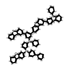 c1ccc(-c2ccc(N(c3cccc(N(c4ccccc4)c4cc(-c5ccc6c(c5)sc5ccc(-c7ccc8c9ccccc9n(-c9ccccc9)c8c7)cc56)cc(-c5ccc6sc7ccccc7c6c5)c4)c3)c3ccc4c(c3)oc3ccccc34)cc2)cc1